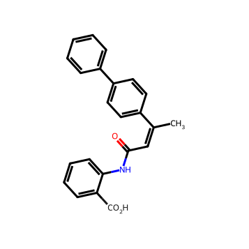 C/C(=C/C(=O)Nc1ccccc1C(=O)O)c1ccc(-c2ccccc2)cc1